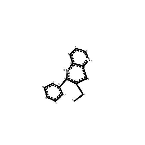 CCc1cc2ncccc2nc1-c1ccccc1